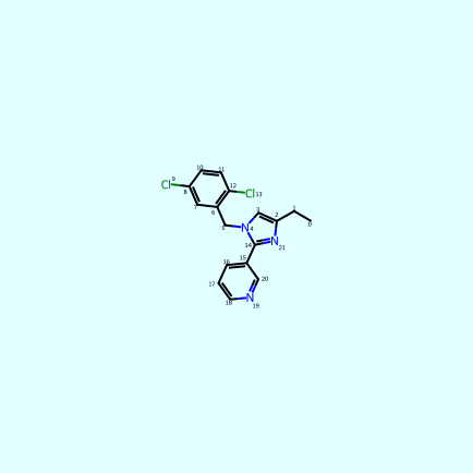 CCc1cn(Cc2cc(Cl)ccc2Cl)c(-c2cccnc2)n1